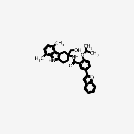 Cc1ccc(C)c2c3c([nH]c12)CCC(CO)(NC(=O)c1cc(-c2cc4ccccc4o2)ccc1OC(C)C)C3